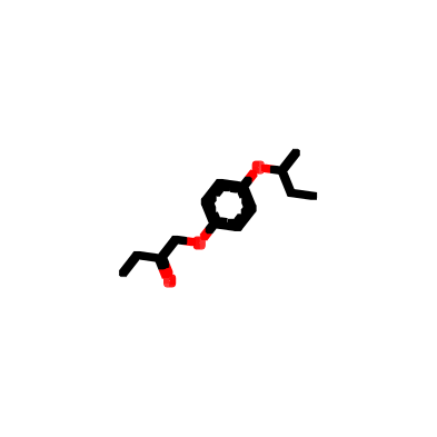 CCC(=O)COc1ccc(OC(C)CC)cc1